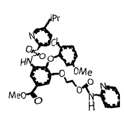 COC(=O)c1cc(NS(=O)(=O)c2ccc(C(C)C)cn2)c(Oc2cc(OC)ccc2Cl)c(OCCOC(=O)Nc2ccccn2)c1